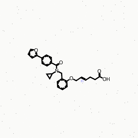 O=C(O)CC/C=C/COc1ccccc1CN(C(=O)c1ccc(-c2ccco2)cc1)C1CC1